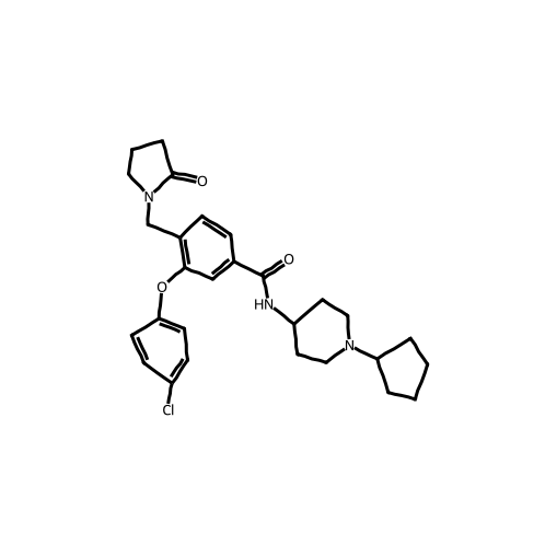 O=C(NC1CCN(C2CCCC2)CC1)c1ccc(CN2CCCC2=O)c(Oc2ccc(Cl)cc2)c1